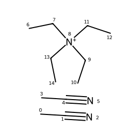 CC#N.CC#N.CC[N+](CC)(CC)CC